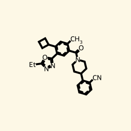 CCc1nnc(-c2cc(C(=O)N3CCC(c4ccccc4C#N)CC3)c(C)cc2C2CCC2)o1